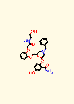 NC(=O)c1cc(O)ccc1OCCN(Cc1ccccc1)CC(O)COc1ccccc1OCC(=O)NCCO